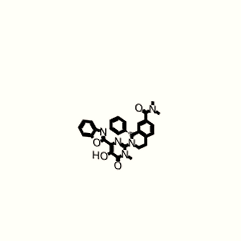 CN(C)C(=O)c1ccc2c(c1)[C@@H](c1ccccc1)N(c1nc(-c3nc4ccccc4o3)c(O)c(=O)n1C)CC2